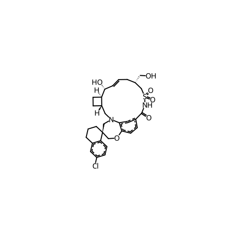 O=C1NS(=O)(=O)C[C@@H](CO)C/C=C/[C@@H](O)[C@@H]2CC[C@H]2CN2C[C@@]3(CCCc4cc(Cl)ccc43)COc3ccc1cc32